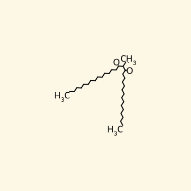 C[CH]C(C(=O)CCCCCCCCCCCCCCC)C(=O)CCCCCCCCCCCCCCC